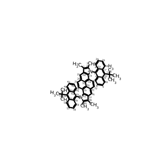 Cc1c(C)n(-c2c3ccccc3c(C(C)(C)C)c3ccccc23)c2c1cc1ccc3c4c(ccc2c14)cc1c(C)c(C)n(-c2c4ccccc4c(C(C)(C)C)c4ccccc24)c13